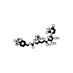 O=C(NCC(CCC(O)[C@H]1O[C@@H](n2ccc(=O)[nH]c2=O)[C@H](O)[C@@H]1O)P(=O)(O)O)OCc1ccc(P(=O)(O)O)cc1